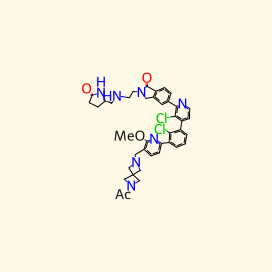 COc1nc(-c2cccc(-c3ccnc(-c4ccc5c(c4)CN(CCNC[C@H]4CCC(=O)N4)C5=O)c3Cl)c2Cl)ccc1CN1CC2(C1)CN(C(C)=O)C2